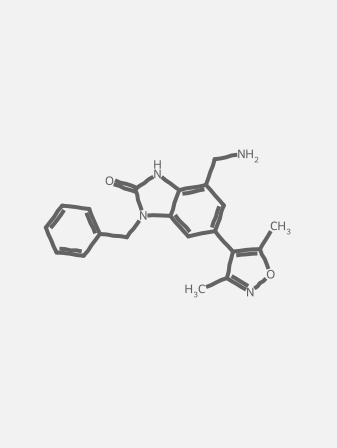 Cc1noc(C)c1-c1cc(CN)c2[nH]c(=O)n(Cc3ccccc3)c2c1